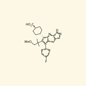 COCC(C)(C)c1c([C@H]2CC[C@H](C(=O)O)CC2)c2nc3[nH]ncc3cc2n1-c1ccc(F)cc1